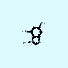 Cn1cnc2cc(C(C)(C)C)cc(F)c21